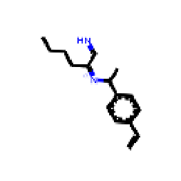 C=Cc1ccc(C(C)/N=C(\C=N)CCCC)cc1